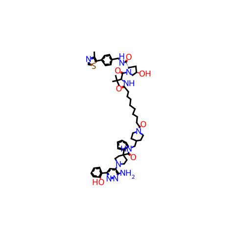 Cc1ncsc1-c1ccc(CNC(=O)[C@@H]2C[C@@H](O)CN2C(=O)[C@@H](NC(=O)CCCCCCCCC(=O)N2CCC(CNC(=O)C3(c4ccccc4)CCN(c4cc(-c5ccccc5O)nnc4N)CC3)CC2)C(C)(C)C)cc1